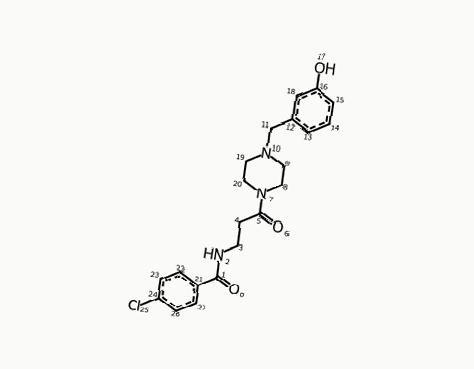 O=C(NCCC(=O)N1CCN(Cc2cccc(O)c2)CC1)c1ccc(Cl)cc1